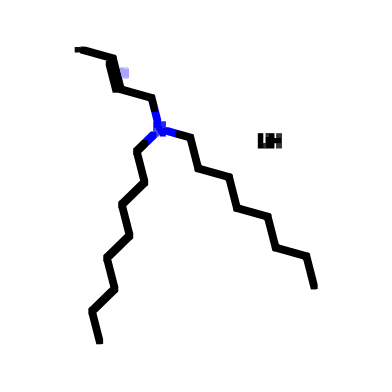 [CH2]/C=C/CN(CCCCCCCC)CCCCCCCC.[LiH]